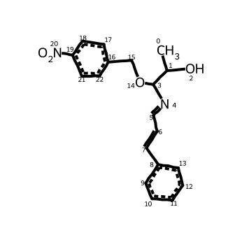 CC(O)C(N=C/C=C/c1ccccc1)OCc1ccc([N+](=O)[O-])cc1